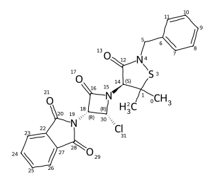 CC1(C)SN(Cc2ccccc2)C(=O)[C@@H]1N1C(=O)[C@@H](N2C(=O)c3ccccc3C2=O)[C@H]1Cl